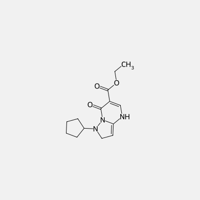 CCOC(=O)C1=CNC2=CCN(C3CCCC3)N2C1=O